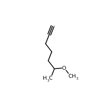 [C]#CCCCC(C)OC